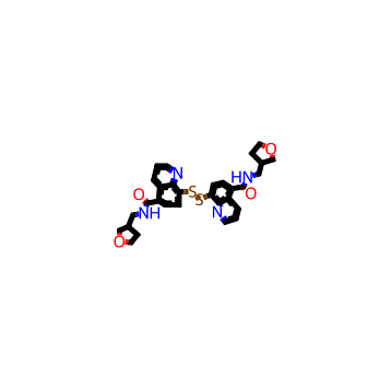 O=C(NCC1CCOC1)c1ccc(SSc2ccc(C(=O)NCC3CCOC3)c3cccnc23)c2ncccc12